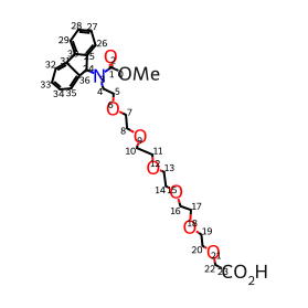 COC(=O)N(CCOCCOCCOCCOCCOCCOCC(=O)O)C1c2ccccc2-c2ccccc21